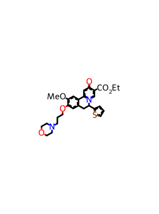 CCOC(=O)c1cn2c(cc1=O)-c1cc(OC)c(OCCCN3CCOCC3)cc1CC2c1cccs1